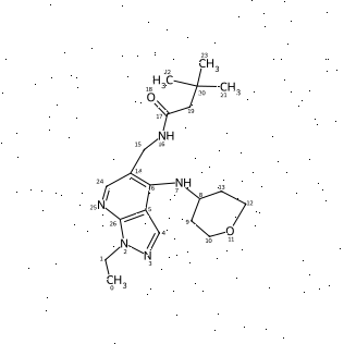 CCn1ncc2c(NC3CCOCC3)c(CNC(=O)CC(C)(C)C)cnc21